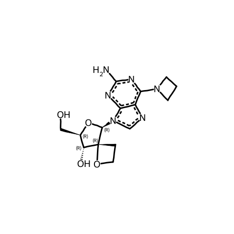 Nc1nc(N2CCC2)c2ncn([C@@H]3O[C@H](CO)[C@@H](O)[C@]34CCO4)c2n1